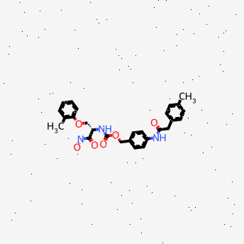 Cc1ccc(CC(=O)Nc2ccc(COC(=O)N[C@@H](COc3ccccc3C)C(=O)N=O)cc2)cc1